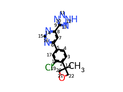 CC1(c2ccc(-c3cc(-c4nn[nH]n4)ncn3)cc2Cl)COC1